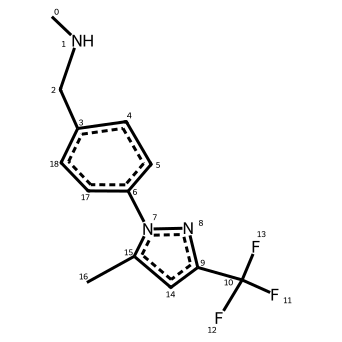 CNCc1ccc(-n2nc(C(F)(F)F)cc2C)cc1